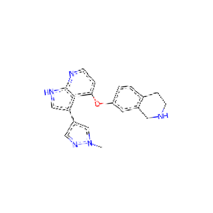 Cn1cc(-c2c[nH]c3nccc(Oc4ccc5c(c4)CNCC5)c23)cn1